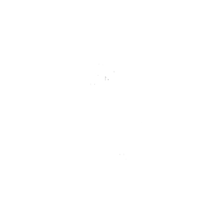 CN(c1ccc(-c2ccc(C(=O)O)cc2C2CCCC2)cc1)S(=O)(=O)c1ccccc1